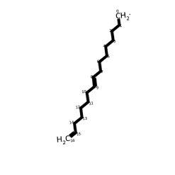 [CH2]CCCCCCCC=CCCCCCC=C